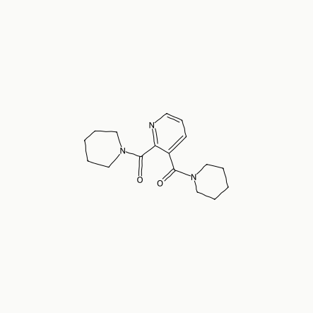 O=C(c1cccnc1C(=O)N1CCCCC1)N1CCCCC1